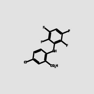 O=C(O)c1cc(Cl)ccc1Nc1c(F)c(F)cc(F)c1F